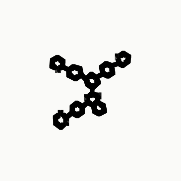 c1ccc(-c2ccc(-c3cc(-c4ccc(-c5ccccn5)cc4)cc(-c4nc(-c5ccc(-c6ncccn6)cc5)c5ccccc5n4)c3)cc2)nc1